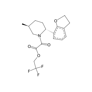 C[C@H]1CC[C@H](c2cccc3c2OCC3)N(C(=O)C(=O)OCC(F)(F)F)C1